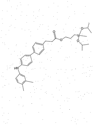 Cc1ccc(Nc2ccc(-c3ccc(CCC(=O)OCCC[Si](C)(OC(C)C)OC(C)C)cc3)cc2)cc1C